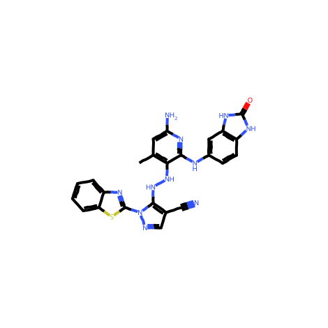 Cc1cc(N)nc(Nc2ccc3[nH]c(=O)[nH]c3c2)c1NNc1c(C#N)cnn1-c1nc2ccccc2s1